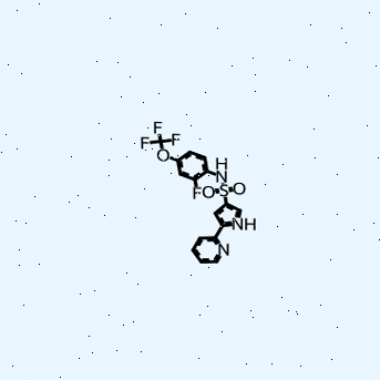 O=S(=O)(Nc1ccc(OC(F)(F)F)cc1F)c1c[nH]c(-c2ccccn2)c1